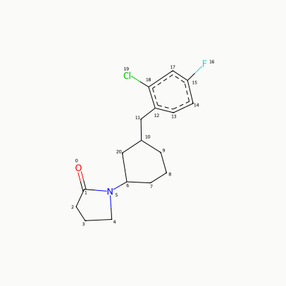 O=C1CCCN1C1CCCC(Cc2ccc(F)cc2Cl)C1